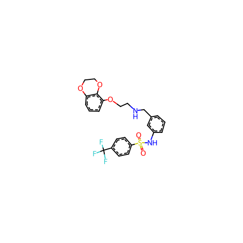 O=S(=O)(Nc1cccc(CNCCOc2cccc3c2OCCO3)c1)c1ccc(C(F)(F)F)cc1